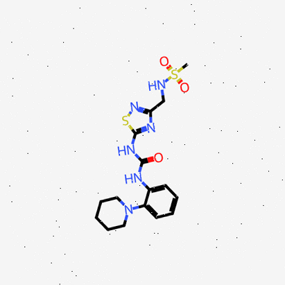 CS(=O)(=O)NCc1nsc(NC(=O)Nc2ccccc2N2CCCCC2)n1